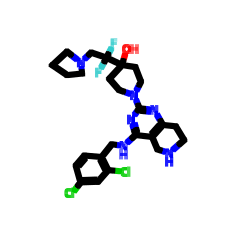 OC1(C(F)(F)CN2CCCC2)CCN(c2nc3c(c(NCc4ccc(Cl)cc4Cl)n2)CNCC3)CC1